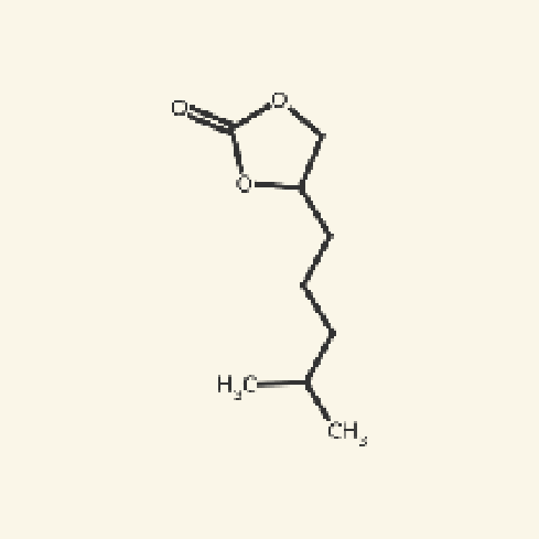 CC(C)CCCC1COC(=O)O1